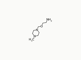 CN1CCN(COCCN)CC1